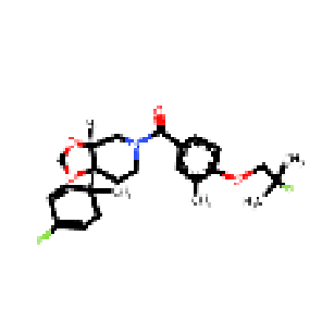 Cc1cc(C(=O)N2CC[C@]3(C4(C)C=CC(F)=CC4)OCO[C@@H]3C2)ccc1OCC(C)(C)F